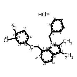 Cc1c(C)n(Cc2ccccc2)c2c(COc3ccc(Cl)c(Cl)c3)nccc12.Cl